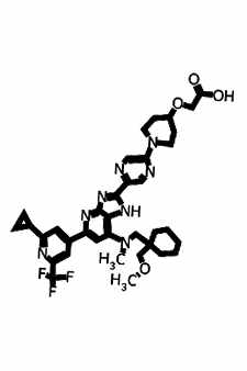 COCC1(CN(C)c2cc(-c3cc(C4CC4)nc(C(F)(F)F)c3)nc3nc(-c4cnc(N5CCC(OCC(=O)O)CC5)cn4)[nH]c23)CCCCC1